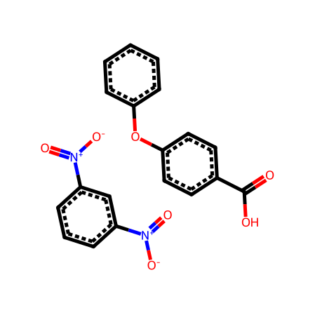 O=C(O)c1ccc(Oc2ccccc2)cc1.O=[N+]([O-])c1cccc([N+](=O)[O-])c1